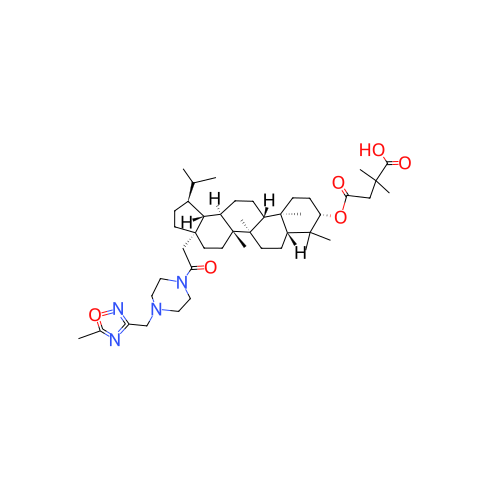 Cc1nc(CN2CCN(C(=O)C[C@]34CC[C@@H](C(C)C)[C@@H]3[C@H]3CC[C@@H]5[C@@]6(C)CC[C@H](OC(=O)CC(C)(C)C(=O)O)C(C)(C)[C@@H]6CC[C@@]5(C)[C@]3(C)CC4)CC2)no1